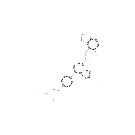 CN(C)CCc1ccc(-c2cnc(NCc3c(F)ccc4c3CCO4)n3cc(C#N)nc23)cc1